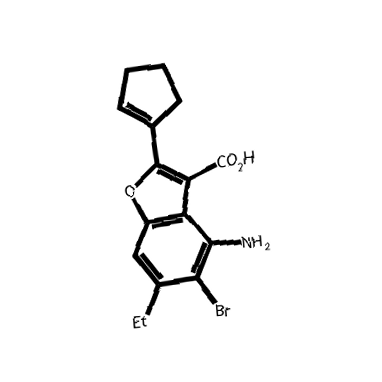 CCc1cc2oc(C3=CCCC3)c(C(=O)O)c2c(N)c1Br